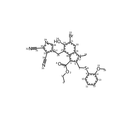 CCOC(=O)c1c(CSc2ccccc2OC)n(C)c2cc(Br)c(O)c(Cn3cnc(C#N)c3C#N)c12